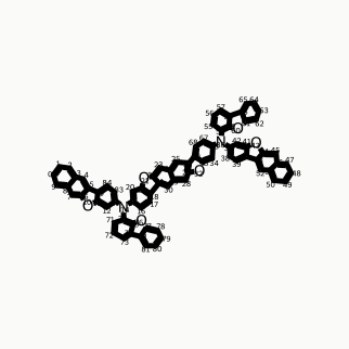 c1ccc2cc3c(cc2c1)oc1cc(N(c2ccc4c(c2)oc2cc5cc6c(cc5cc24)oc2cc(N(c4ccc5c(c4)oc4cc7ccccc7cc45)c4cccc5c4oc4ccccc45)ccc26)c2cccc4c2oc2ccccc24)ccc13